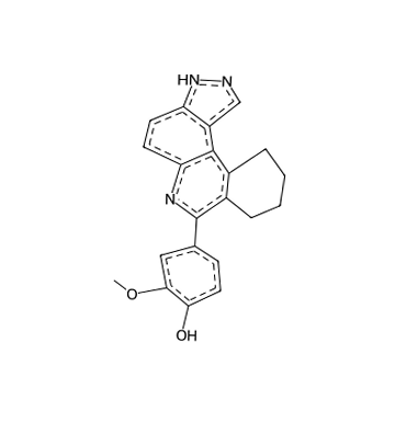 COc1cc(-c2nc3ccc4[nH]ncc4c3c3c2CCCC3)ccc1O